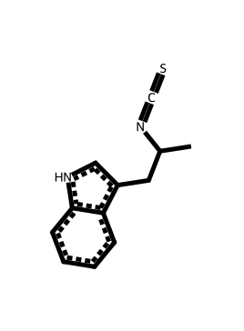 CC(Cc1c[nH]c2ccccc12)N=C=S